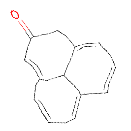 O=C1C=C2C=CC=C3C=CC=C(C1)C32